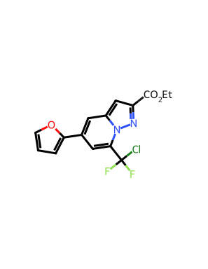 CCOC(=O)c1cc2cc(-c3ccco3)cc(C(F)(F)Cl)n2n1